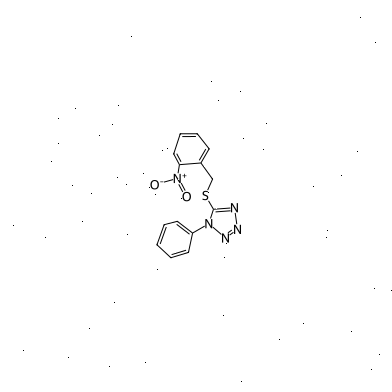 O=[N+]([O-])c1ccccc1CSc1nnnn1-c1ccccc1